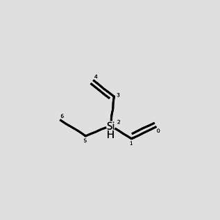 C=C[SiH](C=C)CC